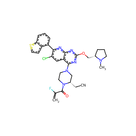 C=C(F)C(=O)N1CCN(c2nc(OC[C@@H]3CCCN3C)nc3nc(-c4cccc5sccc45)c(Cl)cc23)C[C@@H]1CC#N